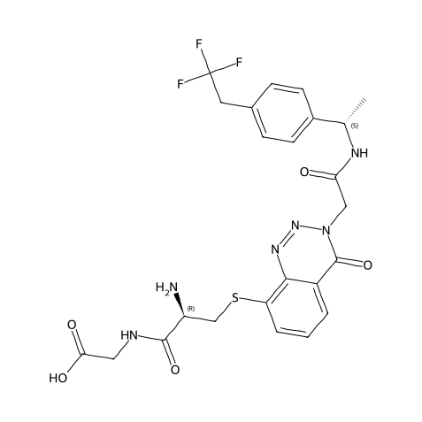 C[C@H](NC(=O)Cn1nnc2c(SC[C@H](N)C(=O)NCC(=O)O)cccc2c1=O)c1ccc(CC(F)(F)F)cc1